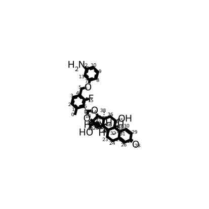 Cc1ccc(COc2cccc(N)c2)c(F)c1[C@H]1O[C@@H]2C[C@H]3[C@@H]4CCC5=CC(=O)C=C[C@]5(C)[C@H]4[C@@H](O)C[C@]3(C)[C@]2(C(=O)CO)O1